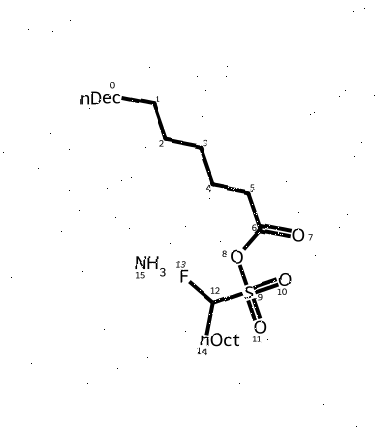 CCCCCCCCCCCCCCCC(=O)OS(=O)(=O)C(F)CCCCCCCC.N